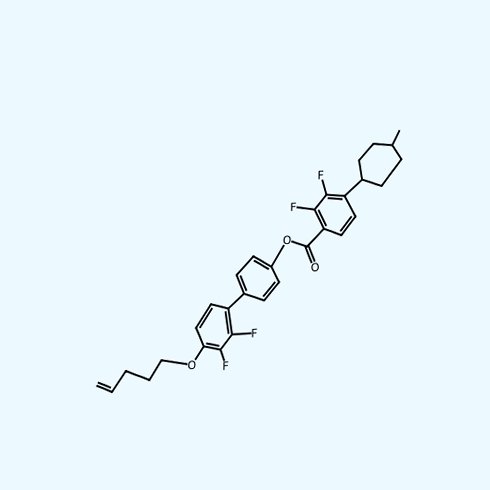 C=CCCCOc1ccc(-c2ccc(OC(=O)c3ccc(C4CCC(C)CC4)c(F)c3F)cc2)c(F)c1F